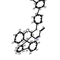 C=C/C=C\C1=C(Cc2ccc(-c3cccc(C#N)c3)cc2)Oc2ccccc2C12c1ccccc1-c1ccccc12